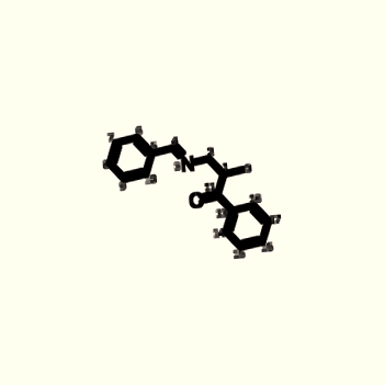 CC(C/N=C/c1ccccc1)C(=O)c1ccccc1